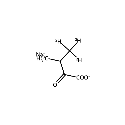 [2H]C([2H])([2H])C([13CH3])C(=O)C(=O)[O-].[Na+]